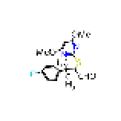 COc1cc(OC)nc(SC(C=O)C(C)(C)c2ccc(F)cc2)n1